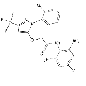 Bc1cc(F)cc(Cl)c1NC(=O)COc1cc(C(F)(F)F)nn1-c1ccccc1Cl